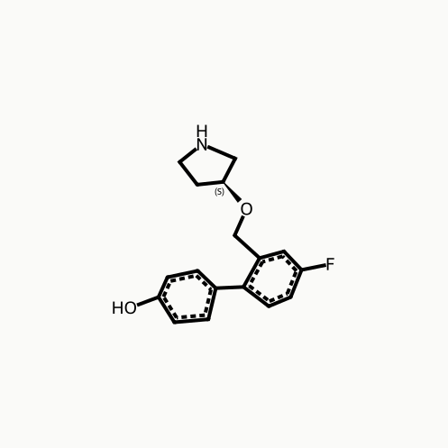 Oc1ccc(-c2ccc(F)cc2CO[C@H]2CCNC2)cc1